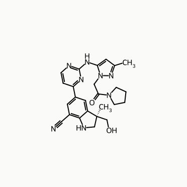 Cc1cc(Nc2nccc(-c3cc(C#N)c4c(c3)[C@@](C)(CO)CN4)n2)n(CC(=O)N2CCCC2)n1